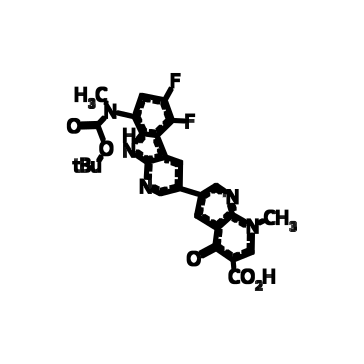 CN(C(=O)OC(C)(C)C)c1cc(F)c(F)c2c1[nH]c1ncc(-c3cnc4c(c3)c(=O)c(C(=O)O)cn4C)cc12